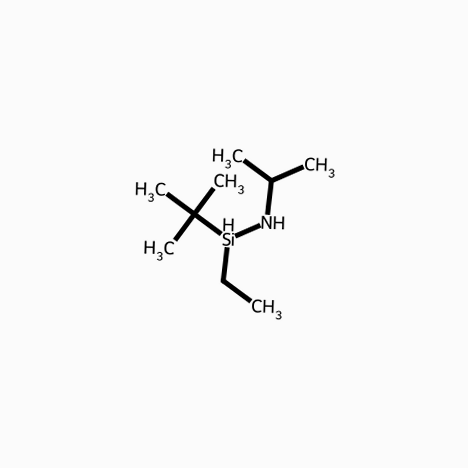 CC[SiH](NC(C)C)C(C)(C)C